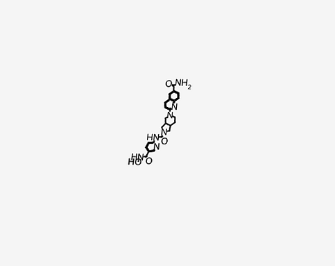 NC(=O)c1ccc2nc(N3CCC4CN(C(=O)Nc5ccc(C(=O)NO)cn5)CC4C3)ccc2c1